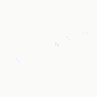 COC(=O)N1CCN(c2ccc3c(c2)CCC2(CCN(C4CCC4)CC2)O3)CC1